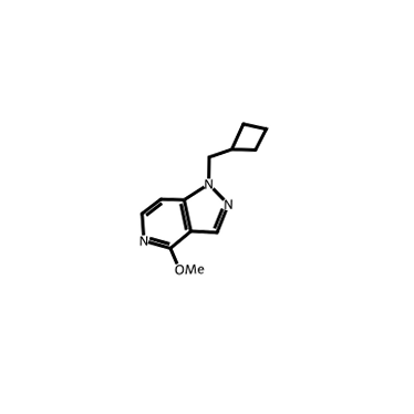 COc1nccc2c1cnn2CC1CCC1